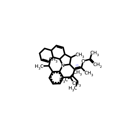 C=C(C)O/C(C)=C(/C(C)CC)C1C(C)C2C=CC3CCC=CC3C2N1c1c(C(C)C)cccc1C(C)C